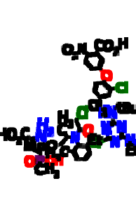 CCNc1nc(Cl)nc(NC(C)(C)C)n1.CCc1cccc(C)c1N(C(=O)CCl)C(C)COC.CP(=O)(O)CCC(N)C(=O)O.O=C(O)c1cc(Oc2ccc(C(F)(F)F)cc2Cl)ccc1[N+](=O)[O-]